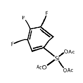 CC(=O)O[Si](OC(C)=O)(OC(C)=O)c1cc(F)c(F)c(F)c1